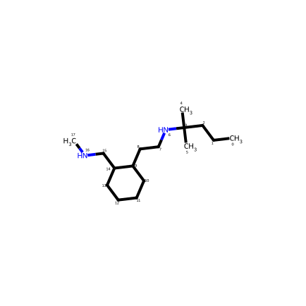 CCCC(C)(C)NCCC1CCCCC1CNC